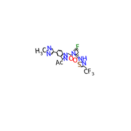 CC(=O)c1nn(CC(=O)N2C[C@H](F)C[C@H]2C(=O)Nc2nc(CC(F)(F)F)cs2)c2ccc(-c3cnc(C)nc3)cc12